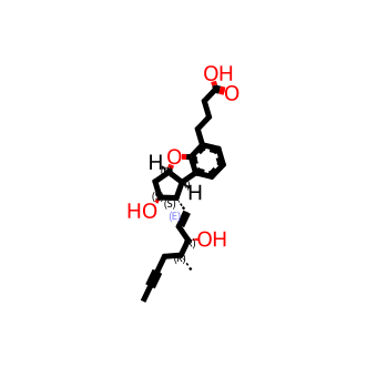 CC#CC[C@@H](C)[C@@H](O)/C=C/[C@H]1[C@@H]2c3cccc(CCCC(=O)O)c3O[C@@H]2C[C@@H]1O